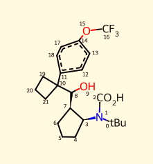 CC(C)(C)N(C(=O)O)[C@H]1CCC[C@H]1C(O)C1(c2ccc(OC(F)(F)F)cc2)CCC1